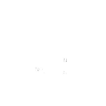 CC(=O)N1CCc2cccc([N+](=O)[O-])c21